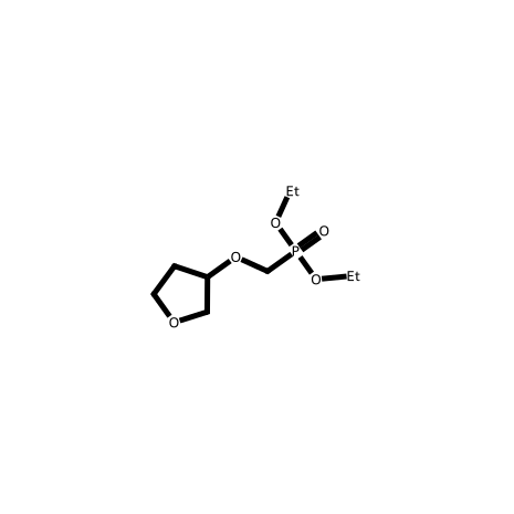 CCOP(=O)(COC1CCOC1)OCC